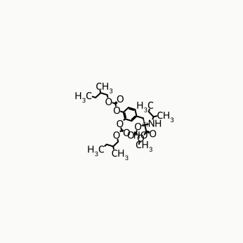 CCC(C)COC(=O)Oc1ccc(C[C@](NC(C)CC)(OC(=O)OC)C(=O)O)cc1OC(=O)OCC(C)CC